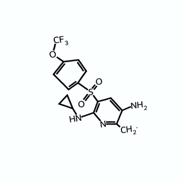 [CH2]c1nc(NC2CC2)c(S(=O)(=O)c2ccc(OC(F)(F)F)cc2)cc1N